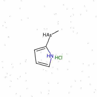 C[AsH]c1ccc[nH]1.Cl